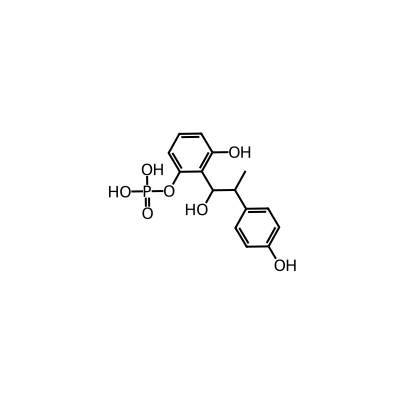 CC(c1ccc(O)cc1)C(O)c1c(O)cccc1OP(=O)(O)O